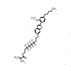 C=C(C)C(=O)OCCC(F)(F)C(F)(F)C(F)(F)C(F)(F)CCOc1ccc2cc(-c3ccc(CCCCC)cc3OC)sc2c1